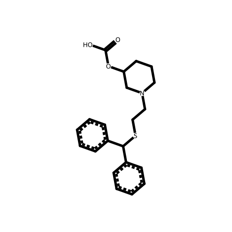 O=C(O)OC1CCCN(CCSC(c2ccccc2)c2ccccc2)C1